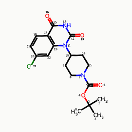 CC(C)(C)OC(=O)N1CCC(n2c(=O)[nH]c(=O)c3ccc(Cl)cc32)CC1